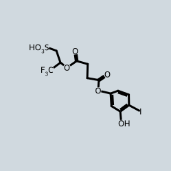 O=C(CCC(=O)OC(CS(=O)(=O)O)C(F)(F)F)Oc1ccc(I)c(O)c1